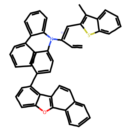 C=C/C(=C\c1sc2ccccc2c1C)N(c1ccc(-c2cccc3oc4c5ccccc5ccc4c23)cc1)c1ccccc1-c1ccccc1